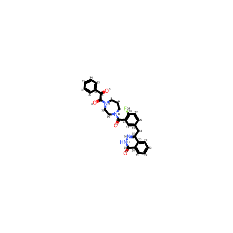 O=C(C(=O)N1CCCN(C(=O)c2cc(Cc3n[nH]c(=O)c4ccccc34)ccc2F)CC1)c1ccccc1